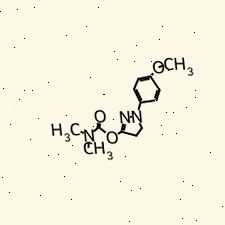 COc1ccc(N2CCC(OC(=O)N(C)C)=N2)cc1